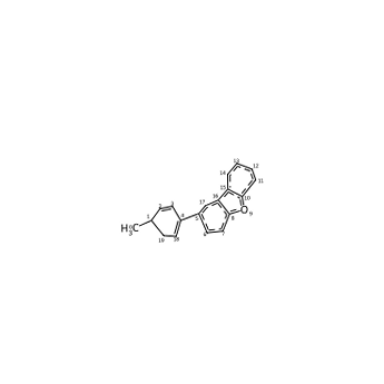 CC1C=CC(c2ccc3oc4ccccc4c3c2)=CC1